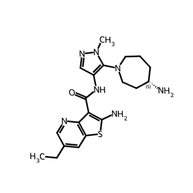 CCc1cnc2c(C(=O)Nc3cnn(C)c3N3CCC[C@H](N)CC3)c(N)sc2c1